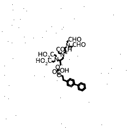 O=CCN(CC=O)CCN(CC(=O)O)CC(COP(=O)(O)OCCc1ccc(-c2ccccc2)cc1)N(CC(=O)O)CC(=O)O